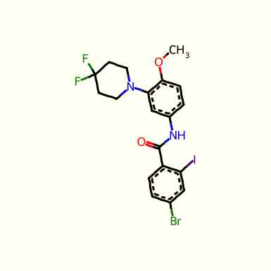 COc1ccc(NC(=O)c2ccc(Br)cc2I)cc1N1CCC(F)(F)CC1